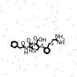 N=C(N)CSCc1ccccc1SC1=C(C(=O)O)N2C(=O)[C@@H](NC(=O)Cc3ccccc3)[C@@H]2SC1